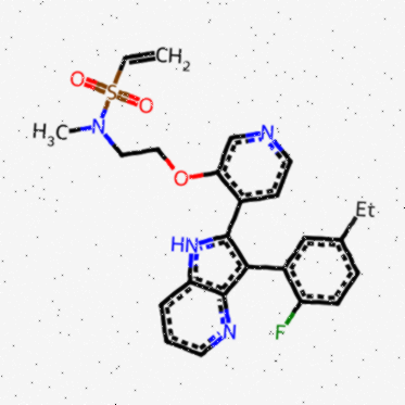 C=CS(=O)(=O)N(C)CCOc1cnccc1-c1[nH]c2cccnc2c1-c1cc(CC)ccc1F